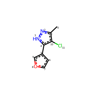 Cc1n[nH]c(-c2ccoc2)c1Cl